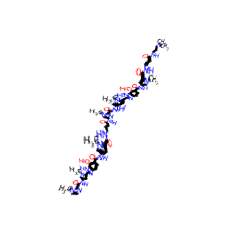 CN(C)CCCNC(=O)CCNC(=O)c1cc(NC(=O)c2ccc3nc(-c4cc(NC(=O)c5nc(NC(=O)CCCNC(=O)c6cc(NC(=O)c7ccc8nc(-c9cc(NC(=O)c%10nccn%10C)cn9C)[nH]c8c7O)cn6C)cn5C)cn4C)[nH]c3c2O)cn1C